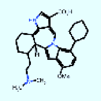 COc1ccc(C2CCCCC2)c2c1cc1n2C=c2c(C(=O)O)c[nH]c2=C2CCCC(CCN(C)C)[C@H]21